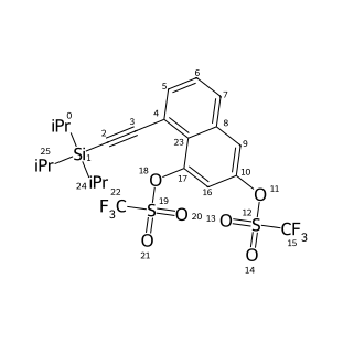 CC(C)[Si](C#Cc1cccc2cc(OS(=O)(=O)C(F)(F)F)cc(OS(=O)(=O)C(F)(F)F)c12)(C(C)C)C(C)C